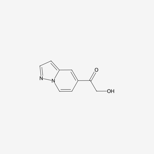 O=C(CO)c1ccn2nccc2c1